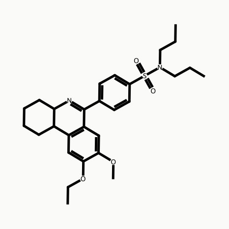 CCCN(CCC)S(=O)(=O)c1ccc(C2=NC3CCCCC3c3cc(OCC)c(OC)cc32)cc1